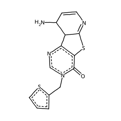 NC1C=CN=C2Sc3c(ncn(Cc4cccs4)c3=O)C21